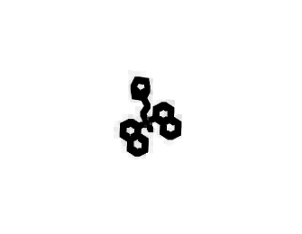 C[Si](CCC1CC2C=CC1C2)(c1cccc2ccccc12)c1cccc2ccccc12